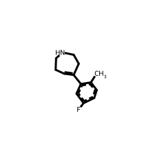 Cc1ccc(F)cc1C1=CCCNCC1